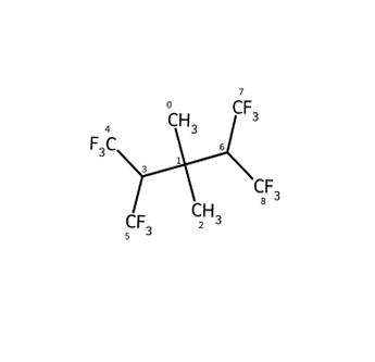 CC(C)(C(C(F)(F)F)C(F)(F)F)C(C(F)(F)F)C(F)(F)F